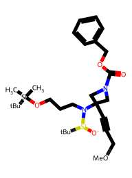 COCC#CC1(N(CCCO[Si](C)(C)C(C)(C)C)[S+]([O-])C(C)(C)C)CN(C(=O)OCc2ccccc2)C1